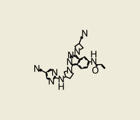 C=CC(=O)Nc1ccc2c(N3CCC(Nc4ncc(C#N)cn4)C3)nnc(N3CC(C#N)C3)c2c1